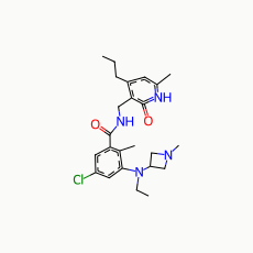 CCCc1cc(C)[nH]c(=O)c1CNC(=O)c1cc(Cl)cc(N(CC)C2CN(C)C2)c1C